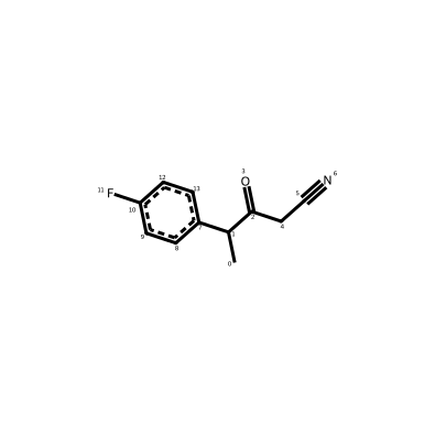 CC(C(=O)CC#N)c1ccc(F)cc1